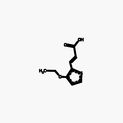 CCOc1ccsc1/C=C/C(=O)O